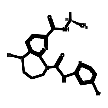 CCN1CCCN(C(=O)Nc2cc(Br)ccn2)c2nc(C(=O)N[C@H](C)C(F)(F)F)ccc21